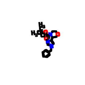 CC(C)(C)OC(=O)N1CCOCC1c1cn(Cc2ccccc2)cn1